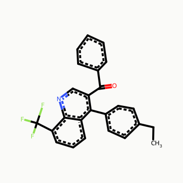 CCc1ccc(-c2c(C(=O)c3ccccc3)cnc3c(C(F)(F)F)cccc23)cc1